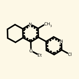 CCOc1c2c(nc(C)c1-c1ccc(Cl)nc1)CCCC2